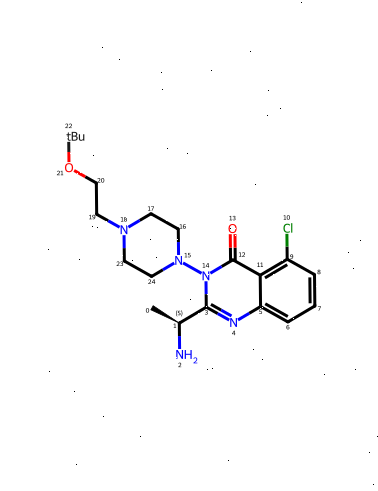 C[C@H](N)c1nc2cccc(Cl)c2c(=O)n1N1CCN(CCOC(C)(C)C)CC1